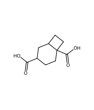 O=C(O)C1CCC2(C(=O)O)CCC2C1